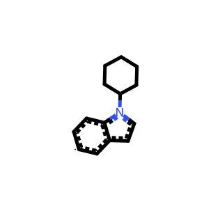 [c]1ccc2c(c1)ccn2C1CCCCC1